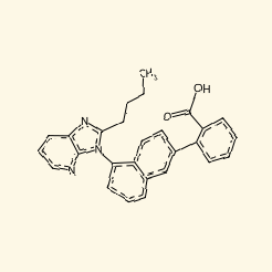 CCCCc1nc2cccnc2n1-c1cccc2cc(-c3ccccc3C(=O)O)ccc12